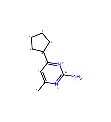 Cc1cc(C2CCCC2)nc(N)n1